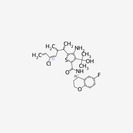 C=C/C(Cl)=C\C(=C)C(=C)c1sc(C(=O)N[C@H]2CCOc3ccc(F)cc32)c(C(C)(C)O)c1N